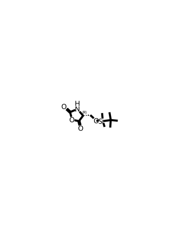 CC(C)(C)[Si](C)(C)OC[C@H]1NC(=O)OC1=O